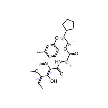 C=N/C(C(=O)N[C@@H](C)C(=O)O[C@@H](C)[C@H](Oc1cccc(F)c1)C1CCCC1)=C(O)\C(=C/C)OC